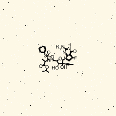 CC#CC1(O)C(n2cc(F)c3c(=O)[nH]c(N)nc32)OC(COP(=O)(NC(C)C(=O)OC(C)C)Oc2ccccc2)[C@@H]1O